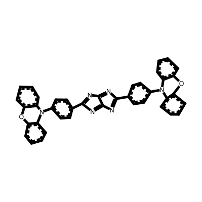 c1ccc2c(c1)Oc1ccccc1N2c1ccc(C2=NC3=NC(c4ccc(N5c6ccccc6Oc6ccccc65)cc4)=NC3=N2)cc1